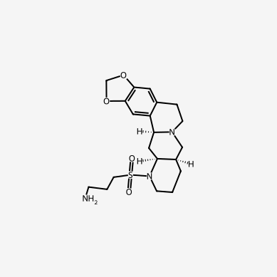 NCCCS(=O)(=O)N1CCC[C@@H]2CN3CCc4cc5c(cc4[C@@H]3C[C@@H]21)OCO5